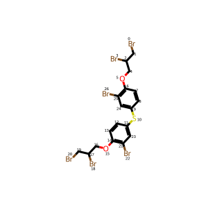 BrCC(Br)COc1ccc(Sc2ccc(OCC(Br)CBr)c(Br)c2)cc1Br